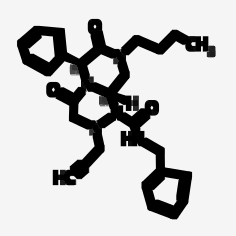 C#CCN1CC(=O)N2[C@@H](c3ccccc3)C(=O)N(CCCC)C[C@@H]2N1C(=O)NCc1ccccc1